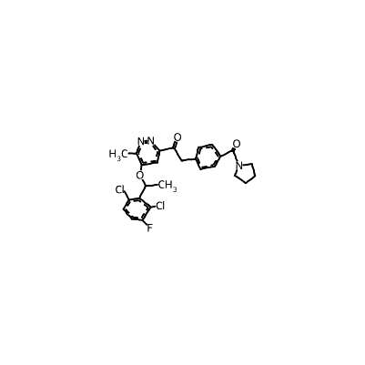 Cc1nnc(C(=O)Cc2ccc(C(=O)N3CCCC3)cc2)cc1OC(C)c1c(Cl)ccc(F)c1Cl